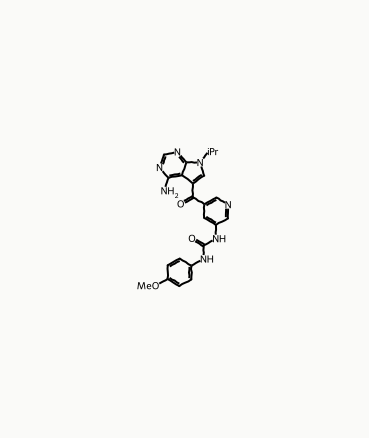 COc1ccc(NC(=O)Nc2cncc(C(=O)c3cn(C(C)C)c4ncnc(N)c34)c2)cc1